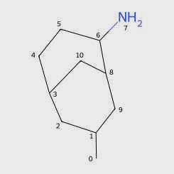 CC1CC2CCC(N)C(C1)C2